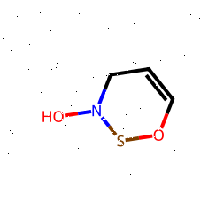 ON1CC=COS1